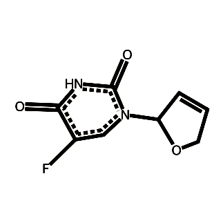 O=c1[nH]c(=O)n(C2C=CCO2)cc1F